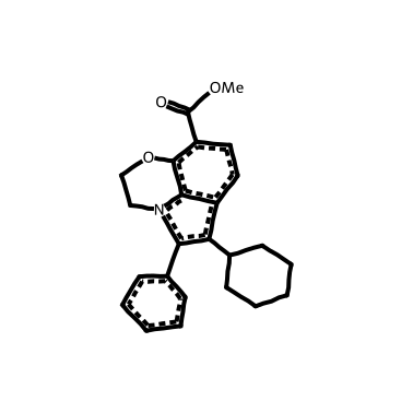 COC(=O)c1ccc2c(C3CCCCC3)c(-c3ccccc3)n3c2c1OCC3